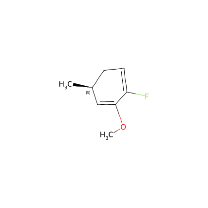 COC1=C[C@@H](C)CC=C1F